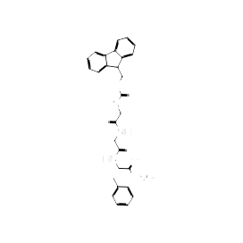 COC(=O)[C@H](Cc1ccccc1)NC(=O)CNC(=O)CNC(=O)OCC1c2ccccc2-c2ccccc21